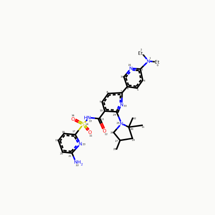 CCN(CC)c1ccc(-c2ccc(C(=O)NS(=O)(=O)c3cccc(N)n3)c(N3CC(C)CC3(C)C)n2)cn1